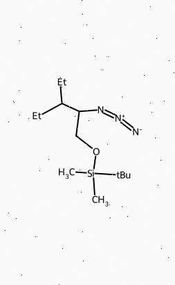 CCC(CC)C(CO[Si](C)(C)C(C)(C)C)N=[N+]=[N-]